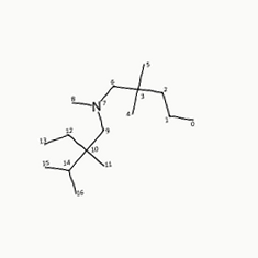 CCCC(C)(C)CN(C)CC(C)(CC)C(C)C